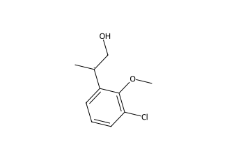 COc1c(Cl)cccc1[C](C)CO